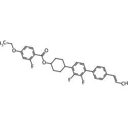 C/C=C/c1ccc(-c2ccc(C3CCC(OC(=O)c4ccc(OCC)cc4F)CC3)c(F)c2F)cc1